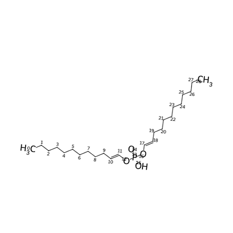 CCCCCCCCCCC=COP(=O)(O)OC=CCCCCCCCCCC